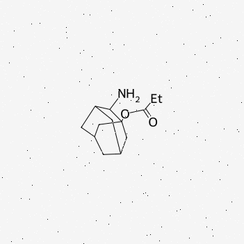 CCC(=O)OC12CC3CC(CC(C3)C1N)C2